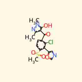 Cc1nn(C)c(O)c1C(=O)c1ccc(S(C)(=O)=O)c(-c2cnco2)c1Cl